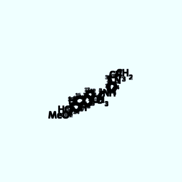 C=C/N=C1/C=CC(NCC(=O)[C@H]2CCC3C4CC[C@@H]5C[C@@](O)(COC)CC[C@@H]5C4CC[C@@]32C)=C/C1=C/C